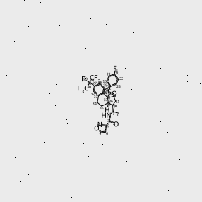 CC(NC(=O)c1ccon1)[C@@H]1CC[C@@]2(S(=O)(=O)c3ccc(F)cc3)c3ccc(C(F)(C(F)(F)F)C(F)(F)F)cc3CC[C@@H]12